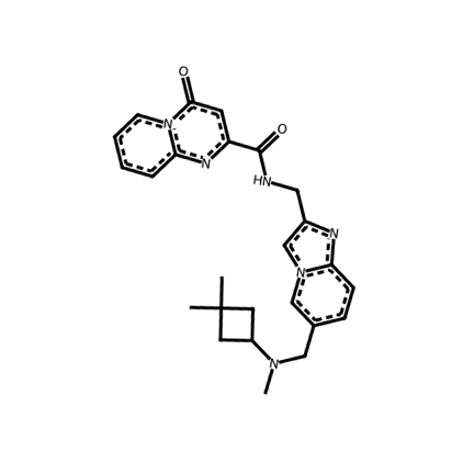 CN(Cc1ccc2nc(CNC(=O)c3cc(=O)n4ccccc4n3)cn2c1)C1CC(C)(C)C1